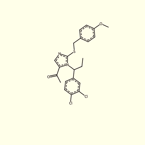 CCC(c1ccc(Cl)c(Cl)c1)n1c(C(C)=O)cnc1SCc1ccc(OC)cc1